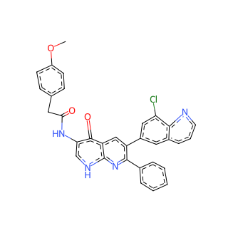 COc1ccc(CC(=O)Nc2c[nH]c3nc(-c4ccccc4)c(-c4cc(Cl)c5ncccc5c4)cc3c2=O)cc1